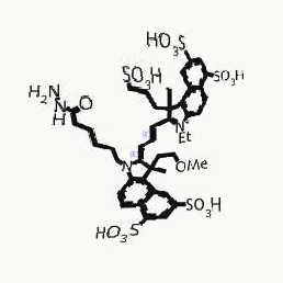 CC[N+]1=C(/C=C/C=C2/N(CCCCCC(=O)NN)c3ccc4c(S(=O)(=O)O)cc(S(=O)(=O)O)cc4c3C2(C)CCOC)C(C)(CCCS(=O)(=O)O)c2c1ccc1c(S(=O)(=O)O)cc(S(=O)(=O)O)cc21